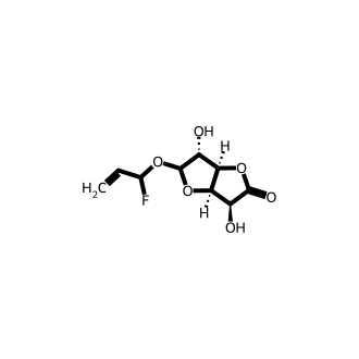 C=CC(F)OC1O[C@H]2[C@H](OC(=O)[C@H]2O)[C@H]1O